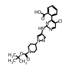 CC(C)(C)OC(=O)N1CCC(n2cc(Nc3ncc(Cl)c(-c4ccccc4C(=O)O)n3)cn2)CC1